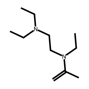 C=C(C)N(CC)CCN(CC)CC